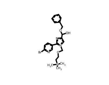 C[Si](C)(C)CCOCn1cc(C(O)OCc2ccccc2)nc1-c1ccc(Br)nc1